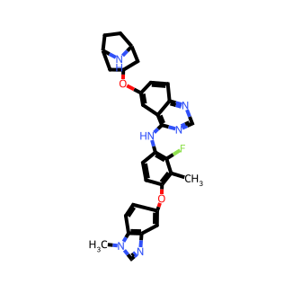 Cc1c(Oc2ccc3c(c2)ncn3C)ccc(Nc2ncnc3ccc(OC4CC5CCC(C4)N5)cc23)c1F